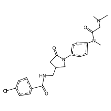 CN(C)CC(=O)N(C)c1ccc(N2CC(CNC(=O)c3ccc(Cl)cc3)CC2=O)cc1